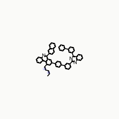 C/C=C\C=C/c1cc(-c2ccc(-c3cccc(-c4nc(-c5cccc(-c6ccccc6)c5)c5ccccc5n4)c3)cc2)cc2c(-c3ccc4ccccc4c3)nc3ccccc3c12